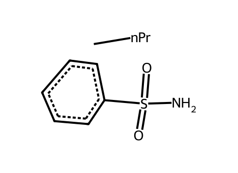 CCCC.NS(=O)(=O)c1ccccc1